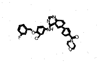 O=C(c1ccc(-c2ccc3ncnc(Nc4ccc(OCc5cccc(F)c5)c(Cl)c4)c3c2)cc1)N1CCOCC1